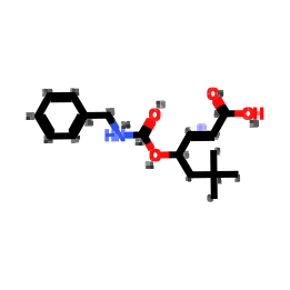 CC(C)(C)CC(/C=C/C(=O)O)OC(=O)NCc1ccccc1